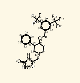 O=c1[nH]nc(CN2CCC(OCc3cc(C(F)(F)F)cc(C(F)(F)F)c3)C(c3ccccc3)C2)[nH]1